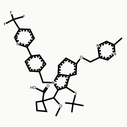 COC(c1c(SC(C)(C)C)c2cc(OCc3cnc(C)cn3)ccc2n1Cc1ccc(-c2ccc(C(F)(F)F)cn2)cc1)C1(C(=O)O)CCC1